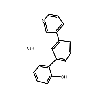 Oc1ccccc1-c1cccc(-c2cccnc2)c1.[CsH]